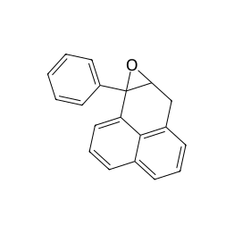 c1ccc(C23OC2Cc2cccc4cccc3c24)cc1